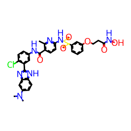 Cc1nc(NS(=O)(=O)c2cccc(OCCC(=O)NO)c2)ccc1C(=O)Nc1ccc(Cl)c(-c2nc3cc(N(C)C)ccc3[nH]2)c1